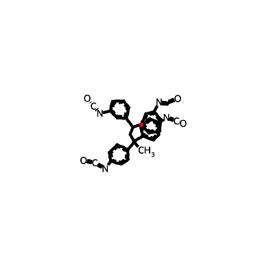 CC(CC(c1cccc(N=C=O)c1)c1cccc(N=C=O)c1)(c1ccc(N=C=O)cc1)c1ccc(N=C=O)cc1